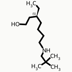 CC[C@H](CCO)CCCCNCC(C)(C)C